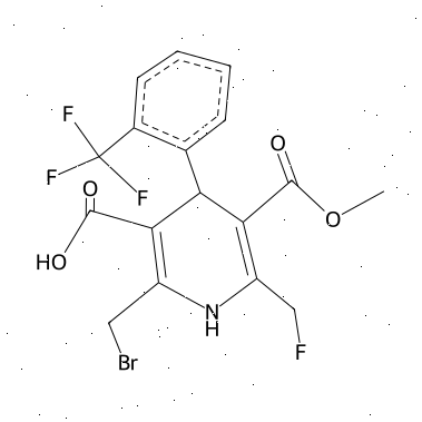 COC(=O)C1=C(CF)NC(CBr)=C(C(=O)O)C1c1ccccc1C(F)(F)F